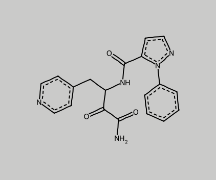 NC(=O)C(=O)C(Cc1ccncc1)NC(=O)c1ccnn1-c1ccccc1